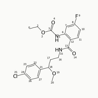 CCOC(=O)Nc1cc(F)ccc1C(=O)NCCC(OC)c1ccc(Cl)cc1